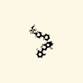 CC1(C)[C@H]2CC[C@]1(c1cccc(-c3cnc(NS(=O)(=O)CF)nc3)n1)c1nnc(-c3c(F)cccc3F)cc12